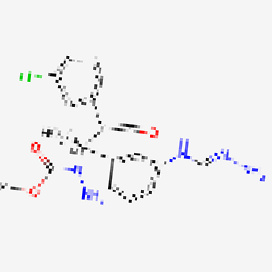 CC(C)OC(=O)N(N)[C@](C(=O)O)(C(=C=O)c1cccc(Cl)c1)c1cccc(NC=NN)c1